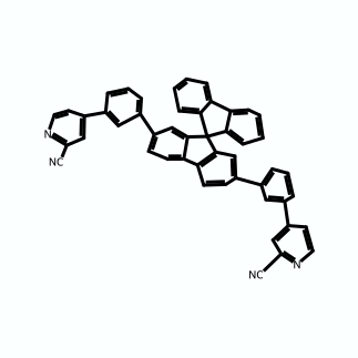 N#Cc1cc(-c2cccc(-c3ccc4c(c3)C3(c5ccccc5-c5ccccc53)c3cc(-c5cccc(-c6ccnc(C#N)c6)c5)ccc3-4)c2)ccn1